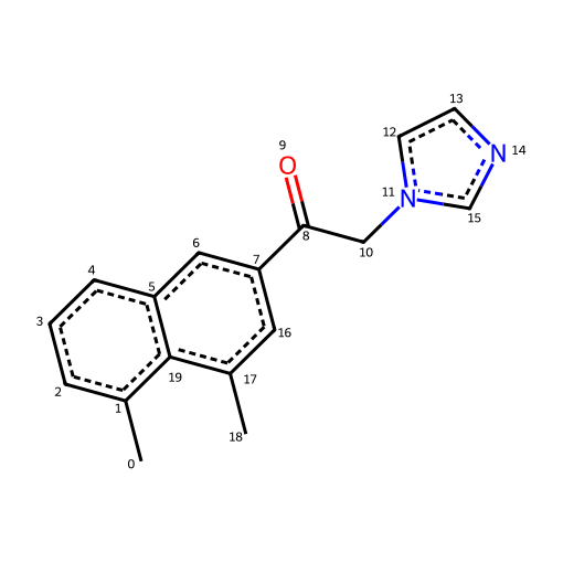 Cc1cccc2cc(C(=O)Cn3ccnc3)cc(C)c12